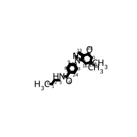 CCCCNC(=O)c1ccc(-n2ncc3c2CC(C)(C)CC3=O)cc1